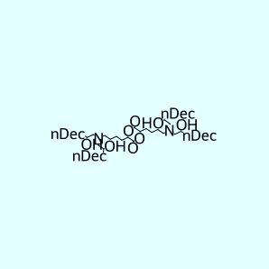 CCCCCCCCCCC(O)CN(CCCCC1OC(=O)C(CCCCN(CC(O)CCCCCCCCCC)CC(O)CCCCCCCCCC)OC1=O)CC(O)CCCCCCCCCC